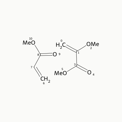 C=C(OC)C(=O)OC.C=CC(=O)OC